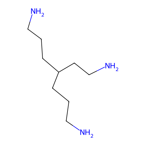 NCCCC(CCN)CCCN